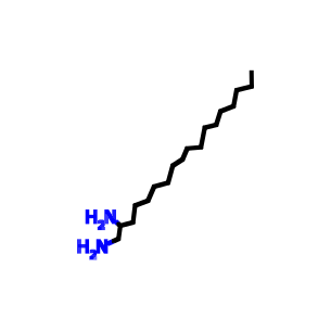 CCCCCCCCCCCCCCCCC(N)CN